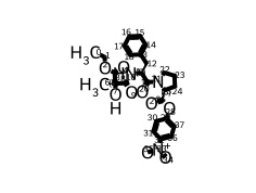 CCOC(=O)[C@](C)(O)C(=O)N[C@@H](Cc1ccccc1)C(=O)N1CCC[C@H]1C(=O)Oc1ccc([N+](=O)[O-])cc1